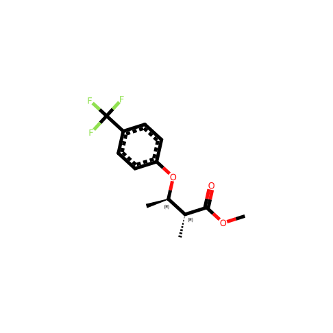 COC(=O)[C@H](C)[C@@H](C)Oc1ccc(C(F)(F)F)cc1